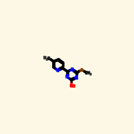 CSc1nc(O)nc(-c2ccc(C)cn2)n1